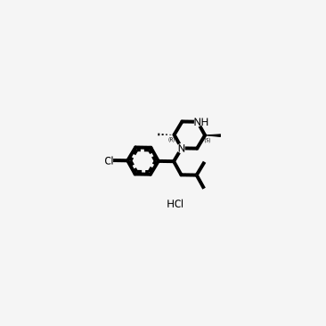 CC(C)CC(c1ccc(Cl)cc1)N1C[C@H](C)NC[C@H]1C.Cl